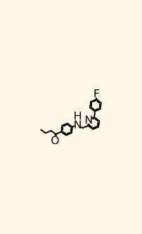 CCCC(=O)c1ccc(NCc2cccc(-c3ccc(F)cc3)n2)cc1